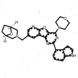 c1cc(-c2nc(N3CCOCC3)c3oc4ncc(CN5C[C@H]6CC[C@@H](C5)O6)cc4c3n2)c2cc[nH]c2c1